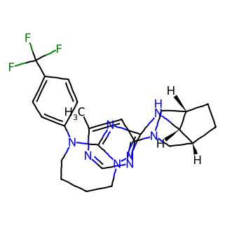 Cc1cc(N2C[C@H]3CC[C@@H](C2)[C@H]3Nc2nc3n(n2)CCCCN3c2ccc(C(F)(F)F)cc2)ncn1